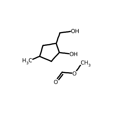 CC1CC(O)C(CO)C1.COC=O